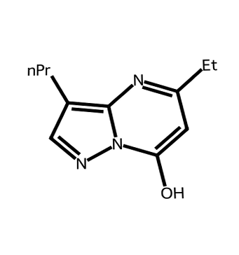 CCCc1cnn2c(O)cc(CC)nc12